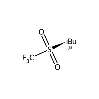 CC[C@H](C)S(=O)(=O)C(F)(F)F